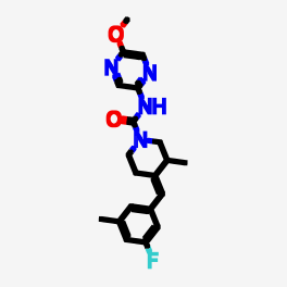 COc1cnc(NC(=O)N2CCC(=Cc3cc(C)cc(F)c3)C(C)C2)cn1